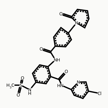 CS(=O)(=O)Nc1ccc(NC(=O)c2ccc(-n3ccccc3=O)cc2)c(C(=O)Nc2ccc(Cl)cn2)c1